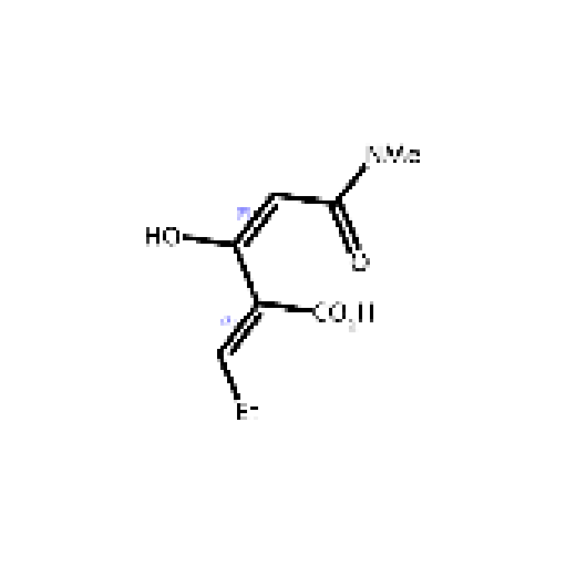 CC/C=C(C(=O)O)/C(O)=C\C(=O)NC